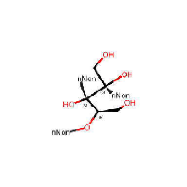 CCCCCCCCCO[C@H](CO)[C@@](O)(CCCCCCCCC)[C@@](O)(CO)CCCCCCCCC